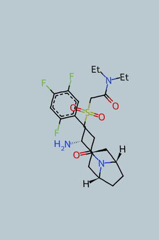 CCN(CC)C(=O)CS(=O)(=O)CCC(=O)N1[C@@H]2CC[C@H]1C[C@H]([C@H](N)Cc1cc(F)c(F)cc1F)C2